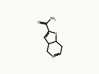 NC(=O)C1=CC2CN=CCC2S1